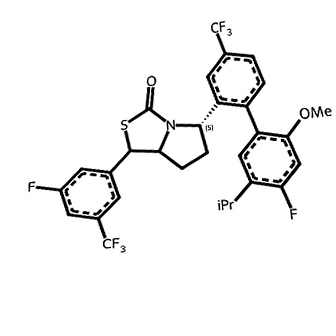 COc1cc(F)c(C(C)C)cc1-c1ccc(C(F)(F)F)cc1[C@@H]1CCC2C(c3cc(F)cc(C(F)(F)F)c3)SC(=O)N21